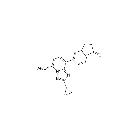 COc1ccc(-c2ccc3c(c2)CCC3=O)c2nc(C3CC3)nn12